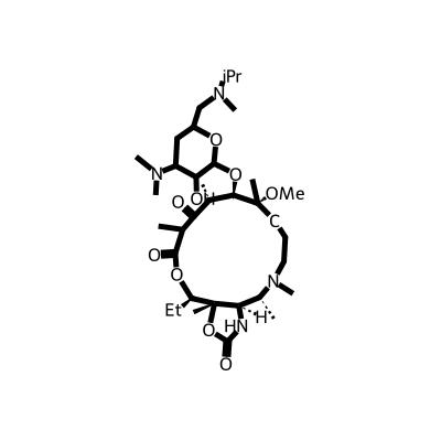 CC[C@H]1OC(=O)C(C)C(=O)[C@H](C)[C@@H](OC2OC(CN(C)C(C)C)CC(N(C)C)C2O)[C@](C)(OC)CCCN(C)[C@H](C)[C@H]2NC(=O)O[C@@]21C